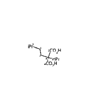 CC(C)CCC(C(=O)O)(C(=O)O)C(C)C